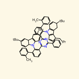 Cc1ccccc1-c1cccc(-c2nc(-c3ccccc3)nc(-c3cccc(-c4ccccc4C)c3-n3c4c(c5c3C=CC5CC(C)C)CC(C(C)(C)C)C=C4)n2)c1N1c2ccc(C(C)(C)C)cc2C2C=C(C(C)(C)C)C=CC21